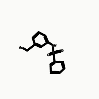 CC(=O)Cc1cccc(NS(=O)(=O)c2ccccc2)c1